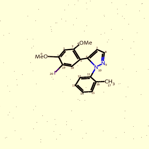 COc1cc(OC)c(-c2ccnn2-c2ccccc2C)cc1I